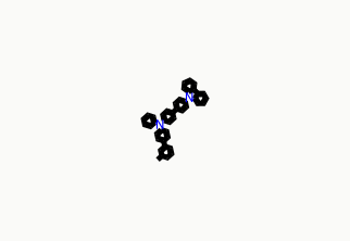 CC1C=C(c2ccc(N(c3ccccc3)c3ccc(-c4ccc(-n5c6ccccc6c6ccccc65)cc4)cc3)cc2)C=CC1